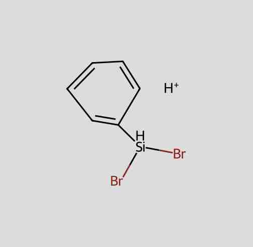 Br[SiH](Br)c1ccccc1.[H+]